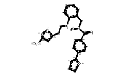 CC(C)N(Cc1ccccc1OCCc1cc(C(=O)O)no1)C(=O)c1ccc(-c2ccco2)cc1